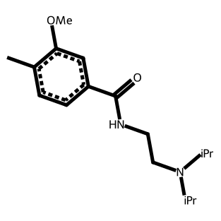 COc1cc(C(=O)NCCN(C(C)C)C(C)C)ccc1C